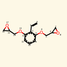 C=Cc1c(OCC2CO2)cccc1OCC1CO1